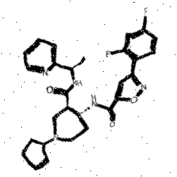 C[C@@H](NC(=O)[C@@H]1CN(C2CCCC2)CC[C@H]1NC(=O)c1cc(-c2ccc(F)cc2F)no1)c1ccccn1